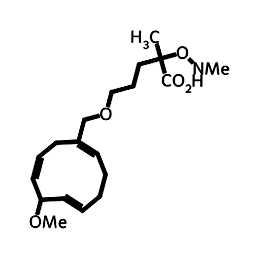 CNOC(C)(CCCOC/C1=C/CC/C=C/C(OC)/C=C\C1)C(=O)O